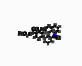 CCOC(=O)C(C(=O)OCC)c1ccc(C2CCCC(N(CC)c3cccc4ccccc34)C2)cc1